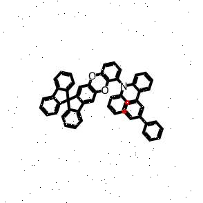 c1ccc(-c2cccc(-c3ccccc3N(c3ccccc3)c3cccc4c3Oc3cc5c(cc3O4)C3(c4ccccc4-c4ccccc43)c3ccccc3-5)c2)cc1